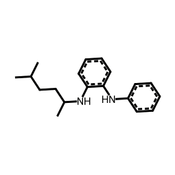 CC(C)CCC(C)Nc1ccccc1Nc1ccccc1